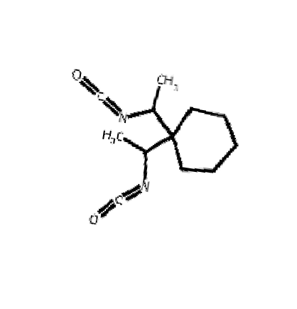 CC(N=C=O)C1(C(C)N=C=O)CCCCC1